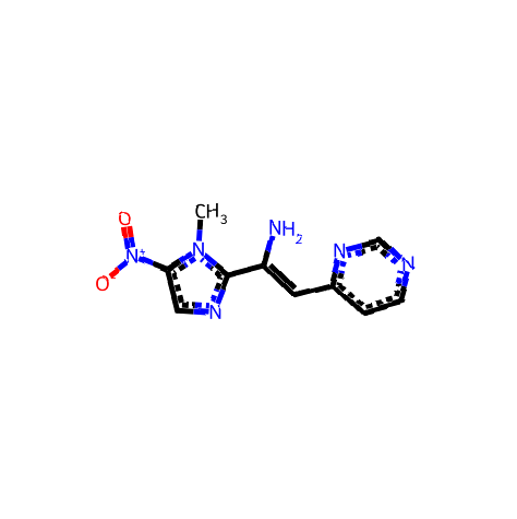 Cn1c([N+](=O)[O-])cnc1C(N)=Cc1ccncn1